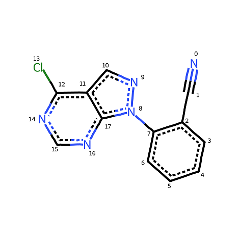 N#Cc1ccccc1-n1ncc2c(Cl)ncnc21